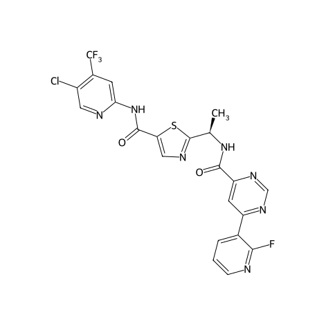 C[C@@H](NC(=O)c1cc(-c2cccnc2F)ncn1)c1ncc(C(=O)Nc2cc(C(F)(F)F)c(Cl)cn2)s1